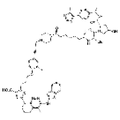 Cc1ncsc1-c1ccc(C(C)NC(=O)[C@@H]2C[C@@H](O)CN2C(=O)C(NC(=O)CCCCCC(=O)N2CCN(CC#Cc3ccc(OCCCc4sc(N5CCCc6c5nnc(Nc5nc7ccccc7s5)c6C)nc4C(=O)O)c(F)c3)CC2)C(C)(C)C)cc1